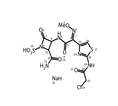 CO/N=C(\C(=O)NC1C(=O)N(S(=O)(=O)O)C1C(N)=O)c1csc(NC(=O)CCl)n1.[NaH]